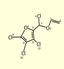 C=COC(Cl)c1oc(Cl)c(Cl)c1Cl